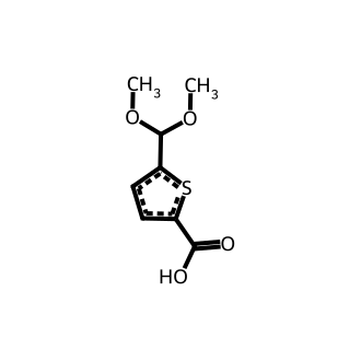 COC(OC)c1ccc(C(=O)O)s1